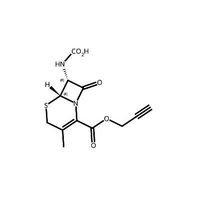 C#CCOC(=O)C1=C(C)CS[C@@H]2[C@H](NC(=O)O)C(=O)N12